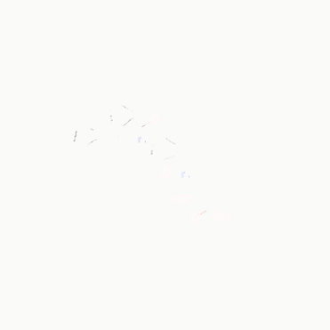 COc1cc(NC(=O)c2cccc(-c3ccccc3)c2Cl)ccc1CNCC(O)CC(=O)O